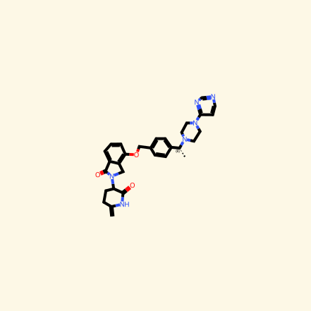 C=C1CCC(N2Cc3c(OCc4ccc([C@@H](C)N5CCN(c6ccncn6)CC5)cc4)cccc3C2=O)C(=O)N1